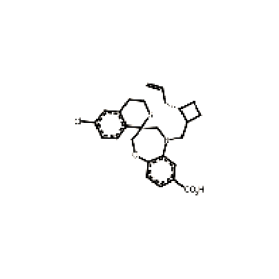 C=CC[C@@H]1CCC1CN1C[C@]2(COc3ccc(C(=O)O)cc31)SCCc1cc(Cl)ccc12